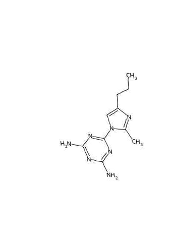 CCCc1cn(-c2nc(N)nc(N)n2)c(C)n1